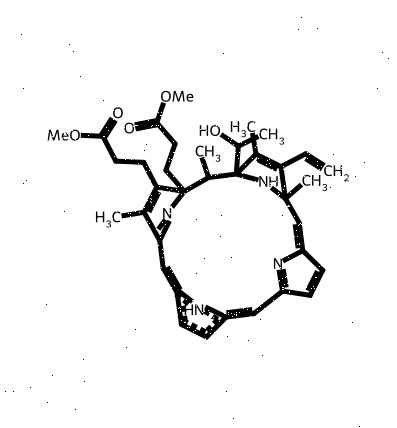 C=CC1=C(C)C2(C(C)O)NC1(C)C=C1C=CC(=N1)C=c1ccc([nH]1)=CC1=NC(CCC(=O)OC)(C(CCC(=O)OC)=C1C)C2C